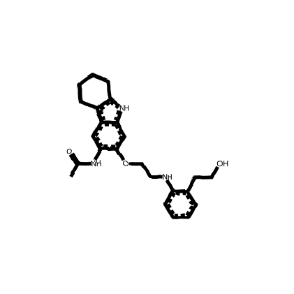 CC(=O)Nc1cc2c3c([nH]c2cc1OCCNc1ccccc1CCO)CCCC3